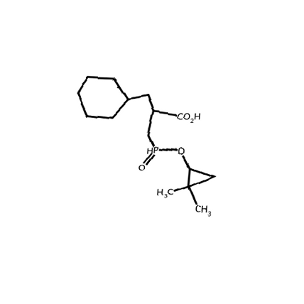 CC1(C)CC1O[PH](=O)CC(CC1CCCCC1)C(=O)O